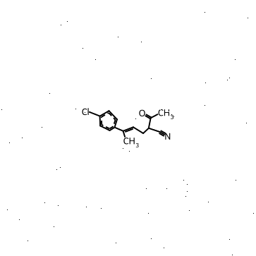 CC(=O)C(C#N)CC=C(C)c1ccc(Cl)cc1